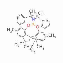 Cc1cc2c3c(c1)C(C)(C)CC31CC(C)(C)c3cc(C)cc(c31)OP(N([C@H](C)c1ccccc1)[C@H](C)c1ccccc1)O2